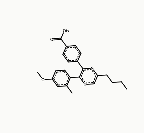 CCCCc1cnc(-c2ccc(OC)cc2C)c(-c2ccc(C(=O)O)cc2)n1